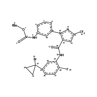 CC(C)(C)OC(=O)Nc1cccc(-n2nc(C(F)(F)F)cc2C(=O)Nc2cc(C3(Br)CC3)ccc2F)c1